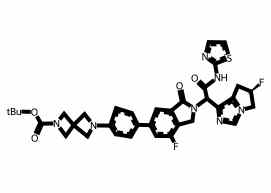 CC(C)(C)OC(=O)N1CC2(C1)CN(c1ccc(-c3cc(F)c4c(c3)C(=O)N(C(C(=O)Nc3nccs3)c3ncn5c3C[C@@H](F)C5)C4)cc1)C2